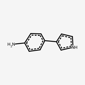 Nc1ccc(-c2cc[nH]c2)cc1